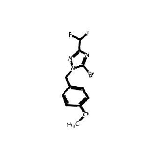 COc1ccc(Cn2nc(C(F)F)nc2Br)cc1